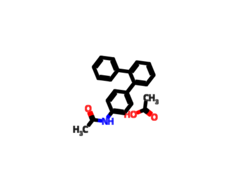 CC(=O)Nc1ccc(-c2ccccc2-c2ccccc2)cc1.CC(=O)O